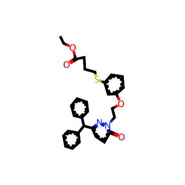 CCOC(=O)CCCSc1cccc(OCCn2nc(C(c3ccccc3)c3ccccc3)ccc2=O)c1